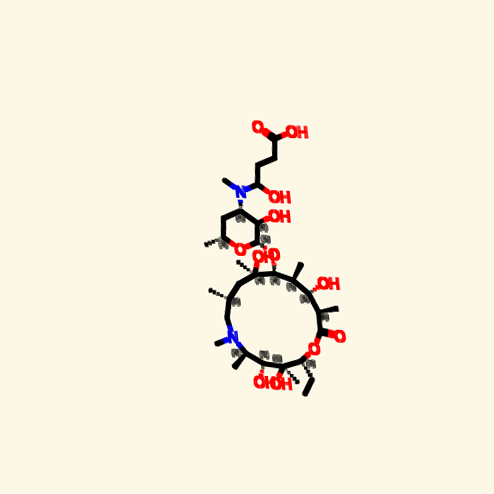 CC[C@H]1OC(=O)[C@H](C)[C@@H](O)[C@H](C)[C@@H](O[C@@H]2O[C@H](C)C[C@H](N(C)C(O)CCC(=O)O)[C@H]2O)[C@](C)(O)C[C@@H](C)CN(C)[C@H](C)[C@@H](O)[C@]1(C)O